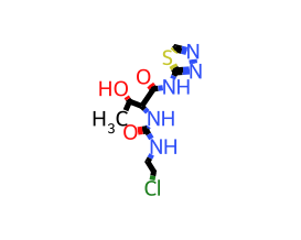 CC(O)C(NC(=O)NCCCl)C(=O)Nc1nncs1